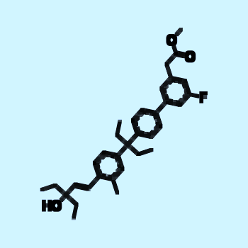 CCC(O)(C=Cc1ccc(C(CC)(CC)c2ccc(-c3cc(F)cc(CC(=O)OC)c3)cc2)cc1C)CC